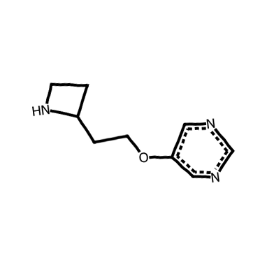 c1ncc(OCCC2CCN2)cn1